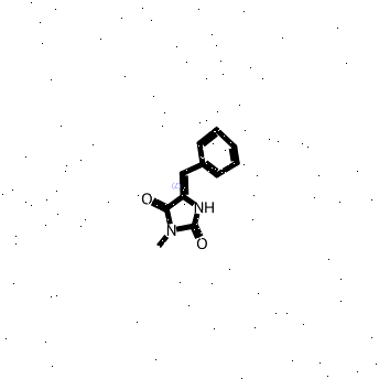 CN1C(=O)N/C(=C\c2ccccc2)C1=O